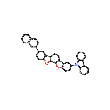 c1ccc2cc(-c3ccc4oc5c(ccc6c7cc(-n8c9ccccc9c9ccccc98)ccc7oc65)c4c3)ccc2c1